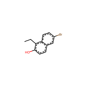 CCc1c(O)ccc2cc(Br)ccc12